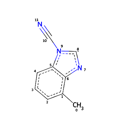 Cc1cccc2c1n[c]n2C#N